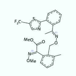 CO/N=C(/C(=O)OC)c1cccc(C)c1CO/N=C(\C)c1ccccc1-c1ncc(C(F)(F)F)s1